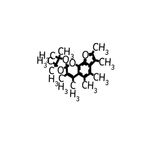 CC1=C(C)C2(Oc3c1c(C)c(C)c1c(C)c(C)oc31)OC(C)(C)C(C)(C)O2